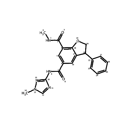 CNC(=O)c1cc(C(=O)Nc2ncn(C)n2)cc2c1OCC2c1ccccc1